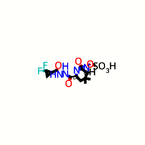 CC1(C)C[C@@H](C(=O)NNC(=O)C2CC2(F)F)N2C[C@@H]1N(OS(=O)(=O)O)C2=O